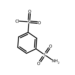 NS(=O)(=O)c1cccc(S(=O)(=O)Cl)c1